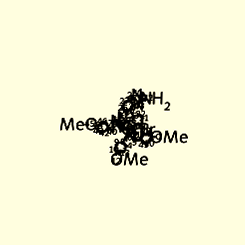 COc1ccc(CN(Cc2ccc(OC)cc2)S(=O)(=O)c2c(Br)ccc(-c3cccc4cnc(N)nc34)c2-c2nnn(Cc3ccc(OC)cc3)n2)cc1